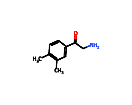 Cc1ccc(C(=O)CN)cc1C